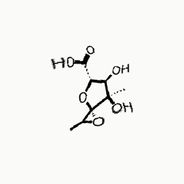 CC1O[C@@]12O[C@H](C(=O)O)[C@@H](O)[C@@]2(C)O